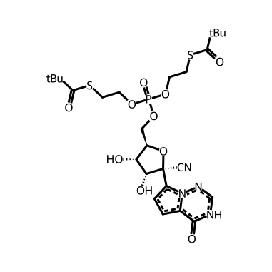 CC(C)(C)C(=O)SCCOP(=O)(OCCSC(=O)C(C)(C)C)OC[C@H]1O[C@@](C#N)(c2ccc3c(=O)[nH]cnn23)[C@H](O)[C@@H]1O